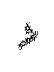 COc1ccc(SC)cc1CCNc1cc(-c2ccc(N3CCN(C(C)=O)CC3)nc2)ncn1